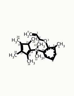 C=CCOc1c(C)cccc1[Si](C)(C)C1=C(C)C(C)=C(C)C1C